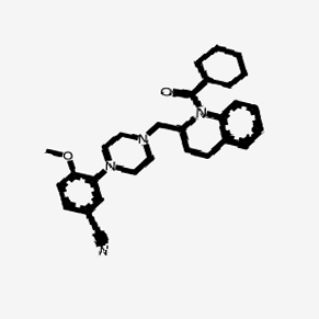 COc1ccc(C#N)cc1N1CCN(CC2CCc3ccccc3N2C(=O)C2CCCCC2)CC1